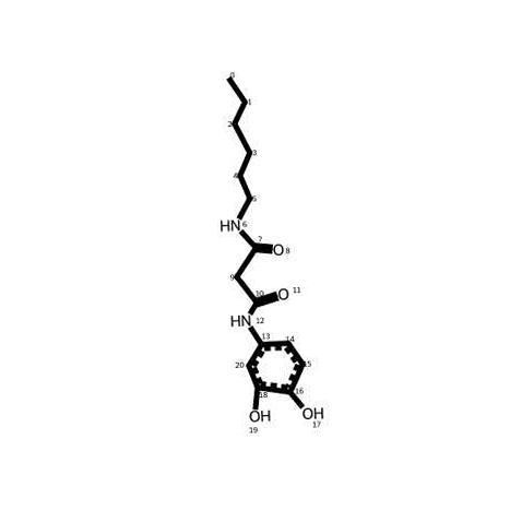 CCCCCCNC(=O)CC(=O)Nc1ccc(O)c(O)c1